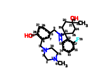 CN1CCN(Cc2cc(CNC3(c4ccccc4F)CCC(C)(O)CC3)ccc2O)CC1